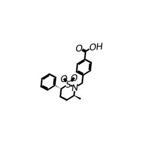 C[C@H]1CC[C@H](c2ccccc2)S(=O)(=O)N1Cc1ccc(C(=O)O)cc1